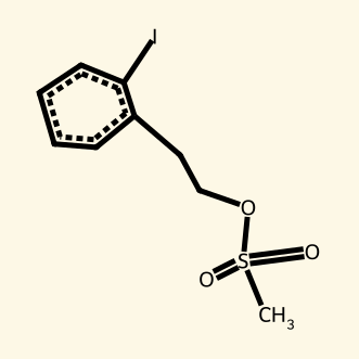 CS(=O)(=O)OCCc1ccccc1I